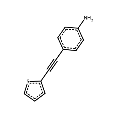 Nc1ccc(C#Cc2cccs2)cc1